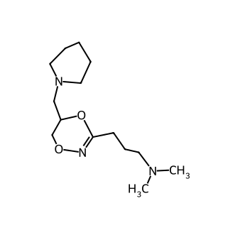 CN(C)CCCC1=NOCC(CN2CCCCC2)O1